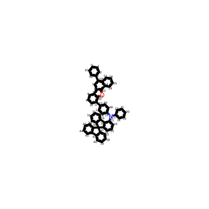 c1ccc(-c2cc3c4cccc(-c5ccc(N(c6ccccc6)c6cccc7c6-c6ccccc6C76c7ccccc7-c7ccccc76)cc5)c4oc3c3ccccc23)cc1